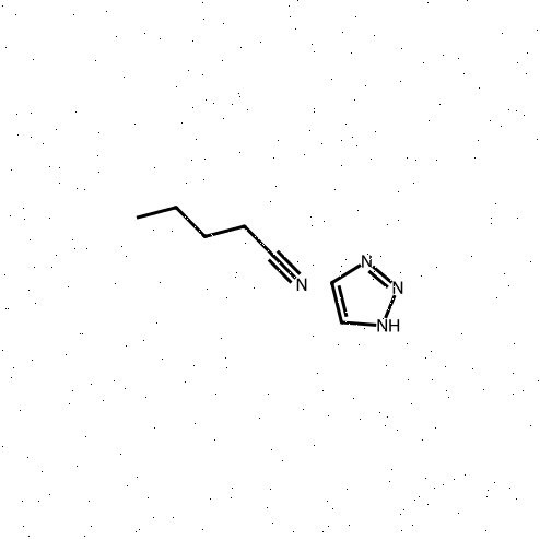 CCCCC#N.c1c[nH]nn1